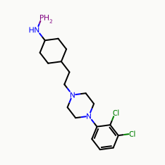 PNC1CCC(CCN2CCN(c3cccc(Cl)c3Cl)CC2)CC1